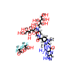 CCn1c(CNC(=O)c2nc3cn[nH]c3nc2N)[n+](CC)c2ccc(C(=O)N3CCC(N(CC(O)C(O)C(O)C(O)CO)CC(O)C(O)C(O)C(O)CO)CC3)cc21.O=C(O)C(F)(F)F.O=C([O-])C(F)(F)F